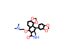 CN(C)CCOc1c2c(c(-c3ccc4c(c3)OCO4)c3c4c(ccc13)OCO4)CNC2=O